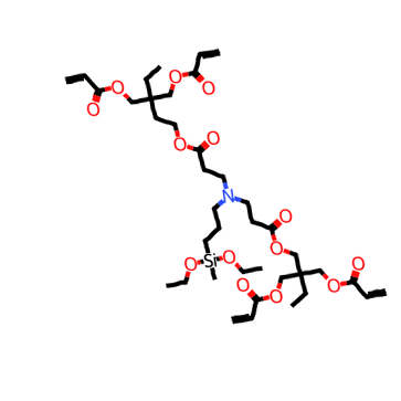 C=CC(=O)OCC(CC)(CCOC(=O)CCN(CCC[Si](C)(OCC)OCC)CCC(=O)OCC(CC)(COC(=O)C=C)COC(=O)C=C)COC(=O)C=C